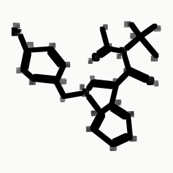 CC(=O)N(C(=O)c1cn(Cc2ccc(Br)cc2)c2ccccc12)C(C)(C)C